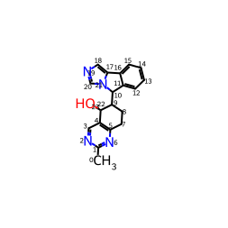 Cc1ncc2c(n1)CCC(C1c3ccccc3-c3cncn31)C2O